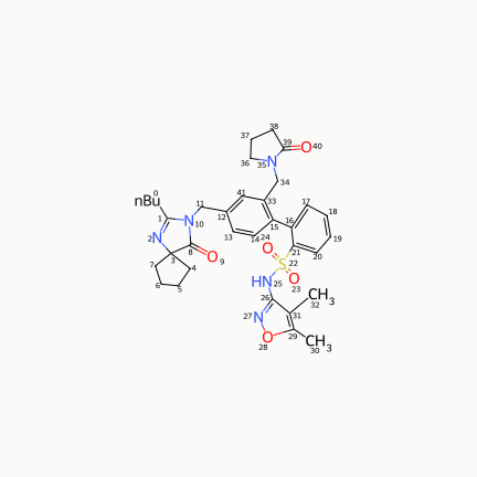 CCCCC1=NC2(CCCC2)C(=O)N1Cc1ccc(-c2ccccc2S(=O)(=O)Nc2noc(C)c2C)c(CN2CCCC2=O)c1